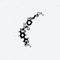 COCCN[C@H]1CC[C@H](C(=O)Nc2ncc3ccc(-c4cnn(C)c4)cc3n2)CC1